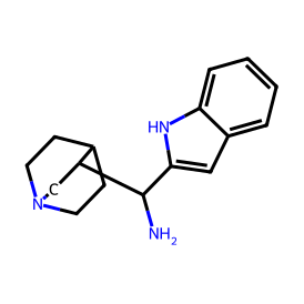 NC(c1cc2ccccc2[nH]1)C1CN2CCC1CC2